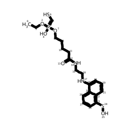 CCOP(O)(=CS)OCCCCC(=O)NCCNc1cccc2c(SO)cccc12